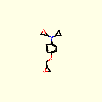 c1cc(N(C2CC2)C2CO2)ccc1OCC1CO1